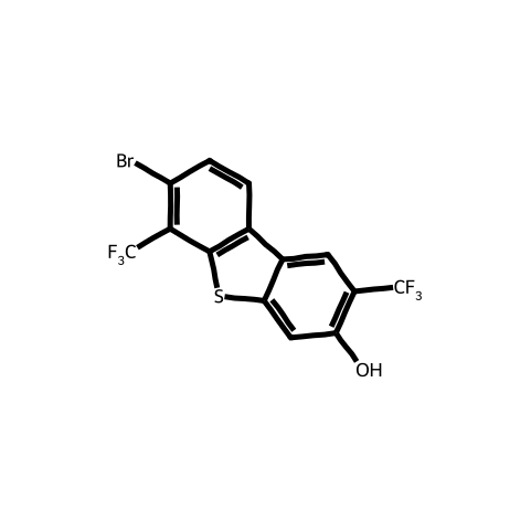 Oc1cc2sc3c(C(F)(F)F)c(Br)ccc3c2cc1C(F)(F)F